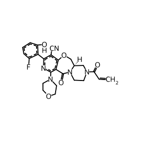 C=CC(=O)N1CCN2C(=O)c3c(N4CCOCC4)nc(-c4c(O)cccc4F)c(C#N)c3OC[C@H]2C1